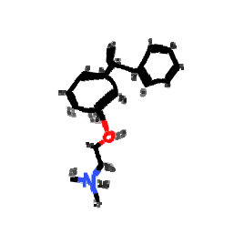 C=C(c1ccccc1)c1cccc(OCCN(C)C)c1